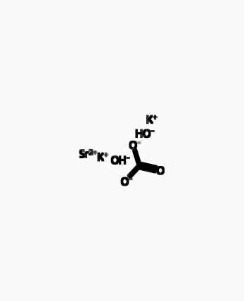 O=C([O-])[O-].[K+].[K+].[OH-].[OH-].[Sr+2]